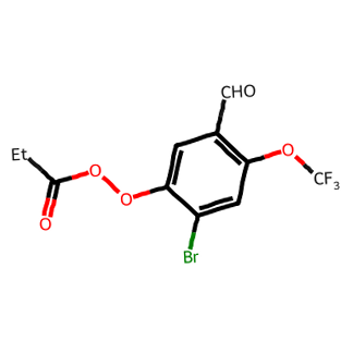 CCC(=O)OOc1cc(C=O)c(OC(F)(F)F)cc1Br